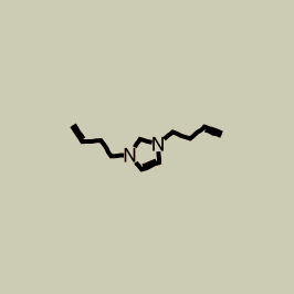 C=CCCN1C=CN(CCC=C)C1